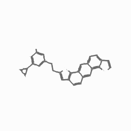 Fc1cc(CCc2cc3ccc4cc5c(ccc6ccsc65)cc4c3s2)cc(C2CC2)c1